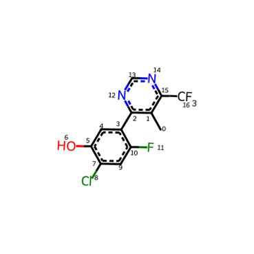 Cc1c(-c2cc(O)c(Cl)cc2F)ncnc1C(F)(F)F